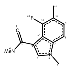 CNC(=O)c1cn(C)c2ccc(C)c(F)c12